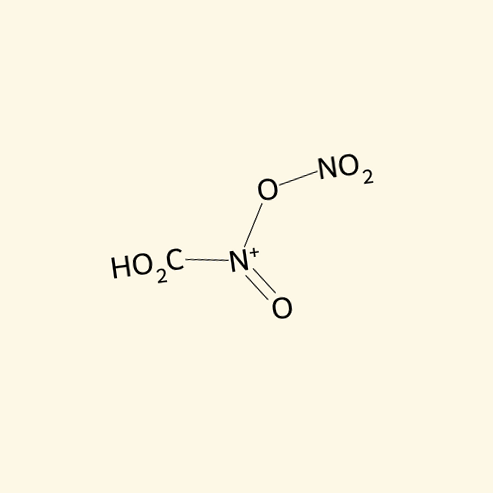 O=C(O)[N+](=O)O[N+](=O)[O-]